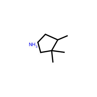 CC1CCCC1(C)C.N